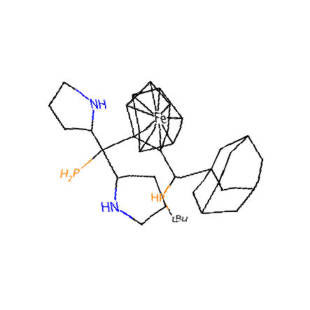 CC(C)(C)PC(C12CC3CC(CC(C3)C1)C2)[C]12[CH]3[CH]4[CH]5[C]1(C(P)(C1CCCN1)C1CCCN1)[Fe]43521678[CH]2[CH]1[CH]6[CH]7[CH]28